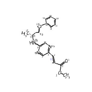 COC(=O)/C=C/c1cnc(N[C@H](C)COc2ccccc2)cn1